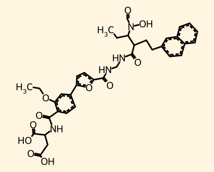 CCOc1cc(-c2ccc(C(=O)NCNC(=O)C(CCc3ccc4ccccc4c3)C(CC)N(O)C=O)o2)ccc1C(=O)NC(CC(=O)O)C(=O)O